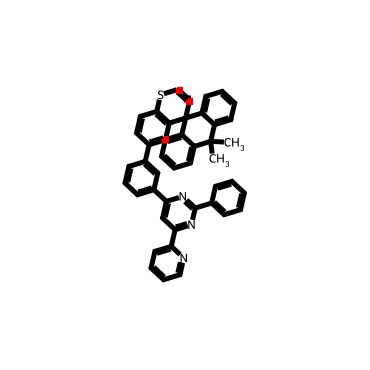 CC1(C)c2ccccc2C2(c3ccccc3Sc3ccc(-c4cccc(-c5cc(-c6ccccn6)nc(-c6ccccc6)n5)c4)cc32)c2ccccc21